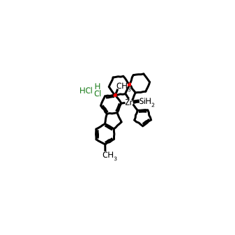 Cc1ccc2c(c1)Cc1c-2ccc(C)[c]1[Zr](=[SiH2])([C]1=CC=CC1)([CH]1CCCCC1)[CH]1CCCCC1.Cl.Cl